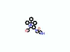 O=C1N(c2ccc3c(c2)c(C2CCOC2)nn3C(c2ccccc2)(c2ccccc2)c2ccccc2)CC[C@]12CCNC2